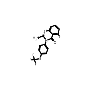 NC(=O)N(C(=O)c1c(F)cccc1Cl)c1ccc(SC(F)(F)F)cc1